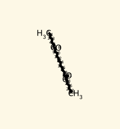 CCCCCCOC(=O)CCCCCCCCCCCC(=O)OCCCCCC